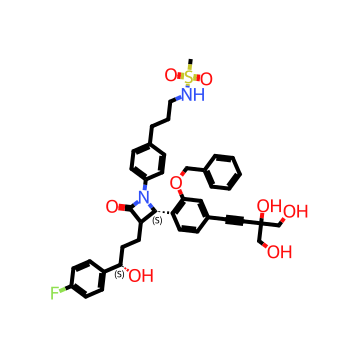 CS(=O)(=O)NCCCc1ccc(N2C(=O)C(CC[C@H](O)c3ccc(F)cc3)[C@H]2c2ccc(C#CC(O)(CO)CO)cc2OCc2ccccc2)cc1